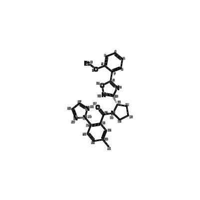 CCOc1ccccc1-c1nc([C@@H]2CCCN2C(=O)c2cc(C)ccc2-n2nccn2)no1